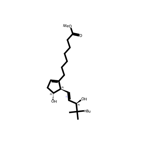 CCCCC(C)(C)[C@H](O)/C=C/[C@@H]1C(CCCCCCC(=O)OC)=CC[C@H]1O